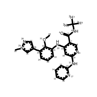 [2H]C([2H])([2H])NC(=O)c1cnc(Nc2ccccn2)cc1Nc1cccc(-c2cnn(C)c2)c1OC